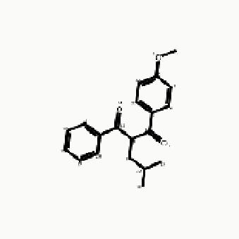 COc1ccc(C(=O)C(CC(C)C)C(=O)c2ccccc2)cc1